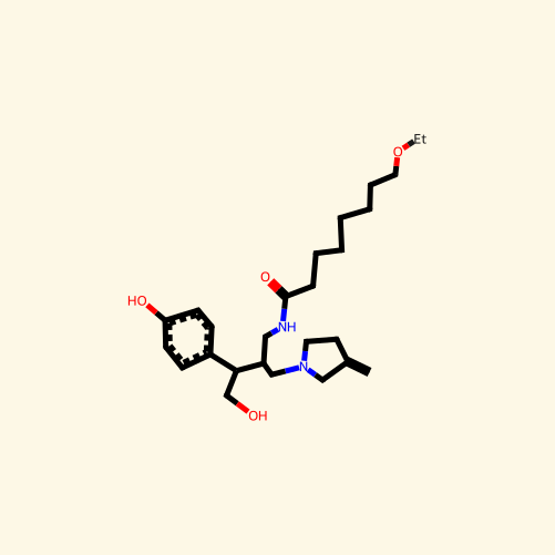 C=C1CCN(CC(CNC(=O)CCCCCCCOCC)C(CO)c2ccc(O)cc2)C1